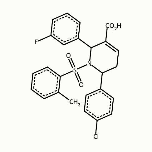 Cc1ccccc1S(=O)(=O)N1C(c2ccc(Cl)cc2)CC=C(C(=O)O)C1c1cccc(F)c1